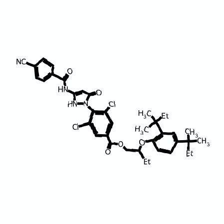 CCC(COC(=O)c1cc(Cl)c(-n2[nH]c(NC(=O)c3ccc(C#N)cc3)cc2=O)c(Cl)c1)Oc1ccc(C(C)(C)CC)cc1C(C)(C)CC